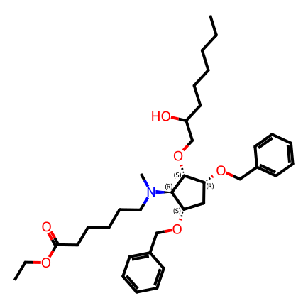 CCCCCCC(O)CO[C@H]1[C@H](N(C)CCCCCC(=O)OCC)[C@@H](OCc2ccccc2)C[C@H]1OCc1ccccc1